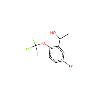 CC(O)c1cc(Br)ccc1OC(F)(F)F